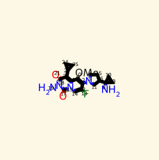 COc1c(N2CCC(C3(N)CC3)C2)c(F)cn2c(=O)n(N)c(=O)c(C3CC3)c12